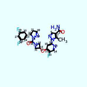 Cc1c(C(N)=O)cnn1-c1cc(OC2CN(C(=O)N3N=CC[C@H]3c3cc(F)cc(F)c3)C2)c(F)cn1